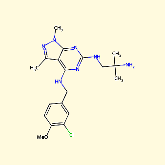 COc1ccc(CNc2nc(NCC(C)(C)N)nc3c2c(C)nn3C)cc1Cl